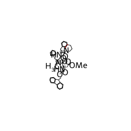 COC(=O)C[C@H](NC(=O)OCC1c2ccccc2-c2ccccc21)C(=O)N(C)[C@@H](Cc1ccccc1)C(=O)N[C@@H](Cc1ccccc1)C(=O)N1CCCCC1